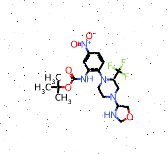 CC(C)(C)OC(=O)Nc1cc([N+](=O)[O-])ccc1N1CCN(C2COCN2)CC1C(F)(F)F